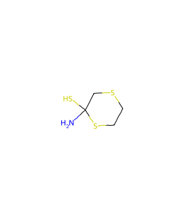 NC1(S)CSCCS1